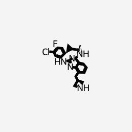 C[C@@H](Nc1nc(Nc2ccc(F)c(Cl)c2)nc2c(CC3CNC3)cccc12)C1CC1